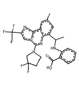 Cc1cc(C(C)Nc2ccccc2C(=O)O)c2nc(N3CCC(F)(F)C3)n3cc(C(F)(F)F)nc3c2c1